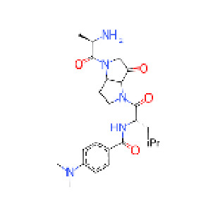 CC(C)C[C@H](NC(=O)c1ccc(N(C)C)cc1)C(=O)N1CCC2C1C(=O)CN2C(=O)[C@@H](C)N